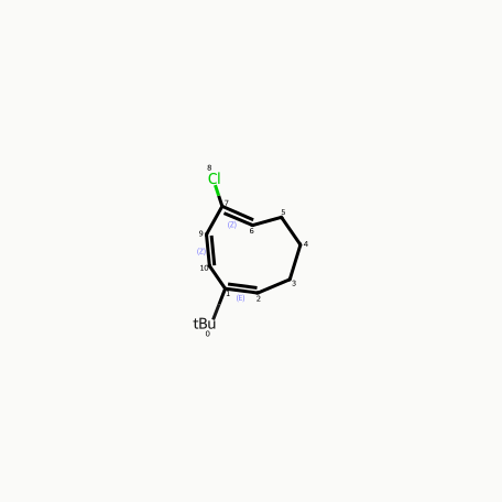 CC(C)(C)C1=C/CCC/C=C(Cl)/C=C\1